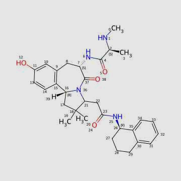 CN[C@@H](C)C(=O)N[C@H]1Cc2cc(O)ccc2[C@H]2CC(C)(C)C(CC(=O)N[C@@H]3CCCc4ccccc43)N2C1=O